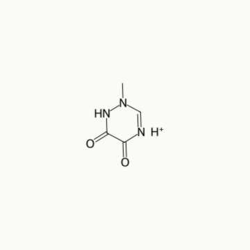 Cn1cnc(=O)c(=O)[nH]1.[H+]